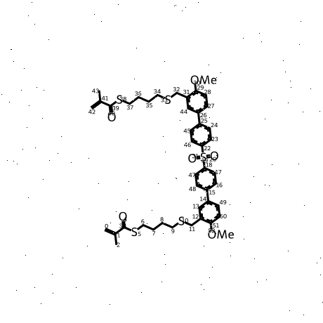 C=C(C)C(=O)SCCCCSCc1cc(-c2ccc(S(=O)(=O)c3ccc(-c4ccc(OC)c(CSCCCCSC(=O)C(=C)C)c4)cc3)cc2)ccc1OC